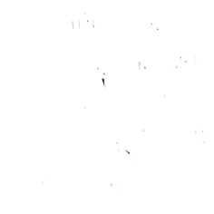 CCOC(=O)[C@]1(C)CC[C@@H](Nc2nc(NC3CCOCC3)ncc2N)CC1